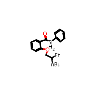 CCCCC(CC)COc1ccccc1C(=O)[SiH2]c1ccccc1